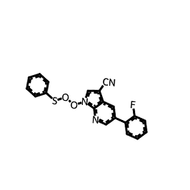 N#Cc1cn(OOSc2ccccc2)c2ncc(-c3ccccc3F)cc12